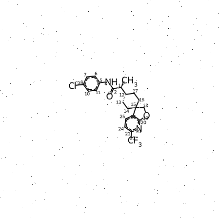 C[C@H](C(=O)Nc1ccc(Cl)cc1)[C@H]1CC[C@@]2(CC1)COc1nc(C(F)(F)F)ccc12